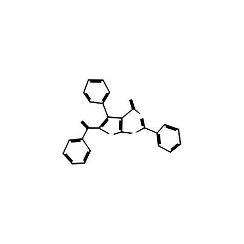 O=C(c1ccccc1)c1[nH]c2[nH]c(-c3ccccc3)nc(=O)c2c1-c1ccccc1